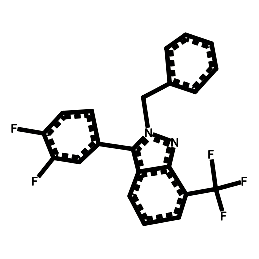 Fc1ccc(-c2c3cccc(C(F)(F)F)c3nn2Cc2ccccc2)cc1F